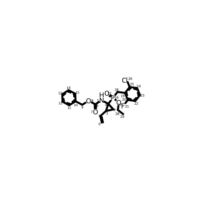 C=CC1CC1(NC(=O)OCc1ccccc1)P(=O)(Cc1c(F)cccc1Cl)OCC